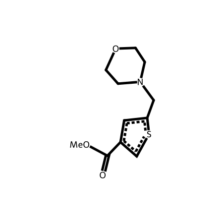 COC(=O)c1csc(CN2CCOCC2)c1